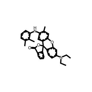 CCN(CC)c1ccc2c(c1)Oc1cc(C)c(Nc3cccc(C)c3C)cc1C21OC(=O)c2ccccc21